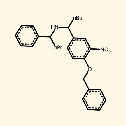 CCCCC(NC(CCC)c1ccccc1)c1ccc(OCc2ccccc2)c([N+](=O)[O-])c1